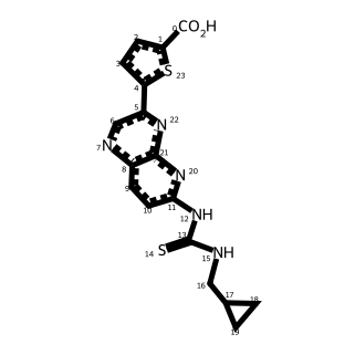 O=C(O)c1ccc(-c2cnc3ccc(NC(=S)NCC4CC4)nc3n2)s1